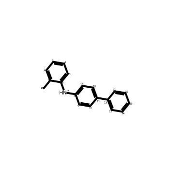 Cc1ccccc1Nc1ccc(-c2ccccc2)cc1